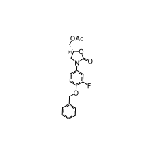 CC(=O)OC[C@H]1CN(c2ccc(OCc3ccccc3)c(F)c2)C(=O)O1